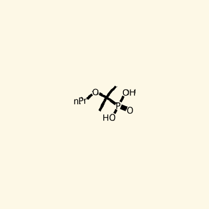 CCCOC(C)(C)P(=O)(O)O